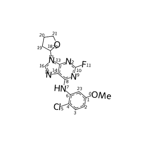 COc1ccc(Cl)c(Nc2nc(F)nc3c2ncn3C2CCCO2)c1